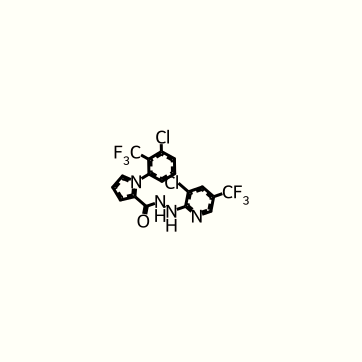 O=C(NNc1ncc(C(F)(F)F)cc1Cl)c1cccn1-c1cccc(Cl)c1C(F)(F)F